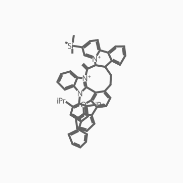 C=C1C2C(CCc3ccc4c(oc5ccccc54)c3-c3n(-c4c(C(C)C)cc(-c5ccccc5)cc4C(C)C)c4ccccc4[n+]31)c1ccccc1-c1ccc([Si](C)(C)C)c[n+]12